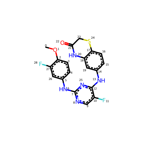 COc1ccc(Nc2ncc(F)c(Nc3ccc4c(c3)NC(=O)CS4)n2)cc1F